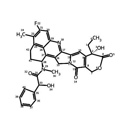 CC[C@@]1(O)C(=O)OCc2c1cc1n(c2=O)Cc2c-1nc1cc(F)c(C)c3c1c2[C@@H](N(C)C(=O)C(O)c1ccccc1)CC3